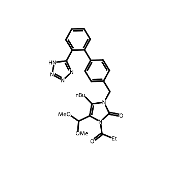 CCCCc1c(C(OC)OC)n(C(=O)CC)c(=O)n1Cc1ccc(-c2ccccc2-c2nnn[nH]2)cc1